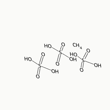 C.O=S(=O)(O)O.O=S(=O)(O)O.O=S(=O)(O)O